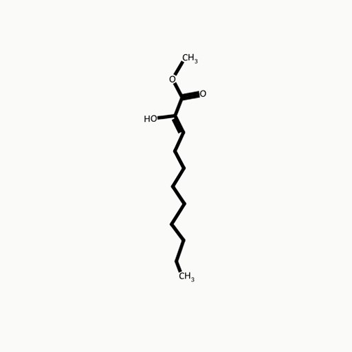 CCCCCCCCC=C(O)C(=O)OC